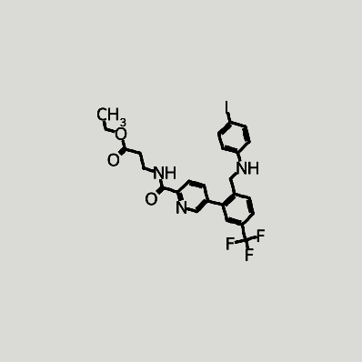 CCOC(=O)CCNC(=O)c1ccc(-c2cc(C(F)(F)F)ccc2CNc2ccc(I)cc2)cn1